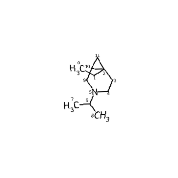 CCC12CCN(C(C)C)CC1C2